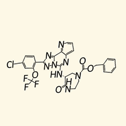 O=C1NCCN(C(=O)OCc2ccccc2)C[C@H]1Nc1nc2cccnc2c2nc(-c3ccc(Cl)cc3OC(F)(F)F)nn12